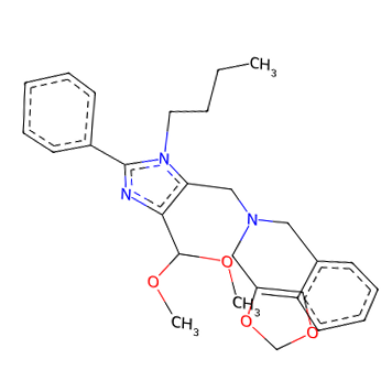 CCCCn1c(-c2ccccc2)nc(C(OC)OC)c1CN(CC1=COCO1)Cc1ccccc1